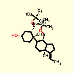 C/C=C1\CCC2[C@H](CO[Si](C)(C)C(C)(C)C)C([C@@]3(C)CC[C@H](O)C[C@@H]3CO[Si](C)(C)C(C)(C)C)CC[C@]12C